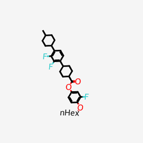 CCCCCCOc1ccc(OC(=O)C2CCC(c3ccc(C4CCC(C)CC4)c(F)c3F)CC2)cc1F